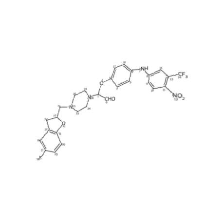 O=CC(Oc1ccc(Nc2ccc([N+](=O)[O-])c(C(F)(F)F)c2)cc1)N1CCN(CC2Cc3cc(F)ccc3O2)CC1